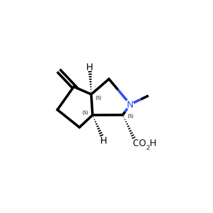 C=C1CC[C@H]2[C@@H]1CN(C)[C@@H]2C(=O)O